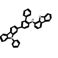 c1ccc(-c2cc(-c3ccc4c5ccccc5n(-c5ccccc5)c4c3)ccc2Nc2cccc3c2oc2ccccc23)cc1